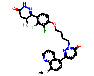 COc1ccc(-c2ccc(=O)n(CCCCOc3ccc(C4=NNC(=O)CC4C)c(F)c3F)n2)c2cccnc12